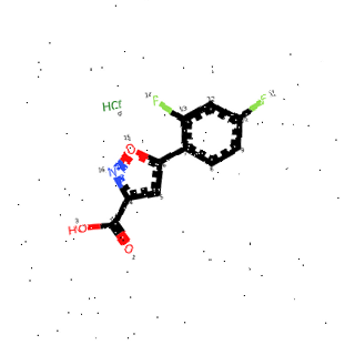 Cl.O=C(O)c1cc(-c2ccc(F)cc2F)on1